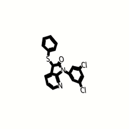 O=C1C(Sc2ccccc2)c2cccnc2N1c1cc(Cl)cc(Cl)c1